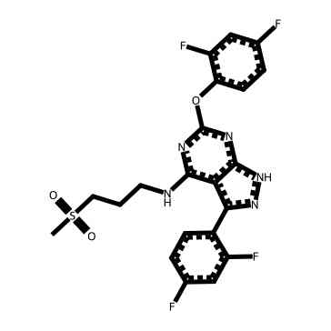 CS(=O)(=O)CCCNc1nc(Oc2ccc(F)cc2F)nc2[nH]nc(-c3ccc(F)cc3F)c12